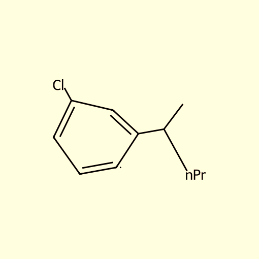 CCCC(C)c1[c]ccc(Cl)c1